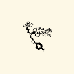 CC(C)(C)OC(=O)N(CC=CS(=O)(=O)[O-])CCOc1ccc(I)cc1.CCCC[N+](CCCC)(CCCC)CCCC